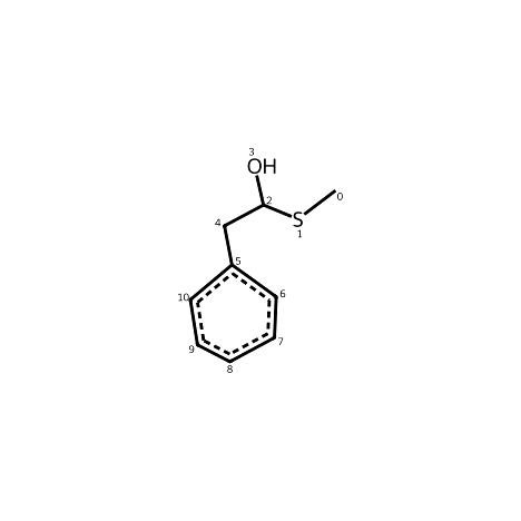 CSC(O)Cc1ccccc1